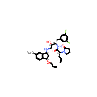 C=CCO[C@@H]1C[C@H](NC[C@@H](O)[C@H](Cc2cc(F)cc(F)c2)NC(=O)[C@H](CC=C)N2CCCC2=O)c2cc(OC)ccc21